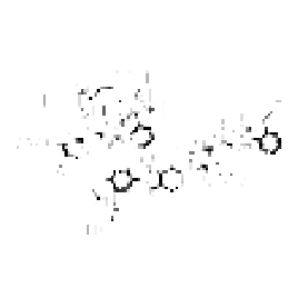 C#CCN1C(=O)COc2cc(F)c(N3C(=O)C4=C(CCCC4)C3=O)cc21.COc1cc(OC)nc(NC(=O)NS(=O)(=O)c2ncccc2C(=O)N(C)C)n1.COc1nc(C)nc(NC(=O)NS(=O)(=O)c2ccccc2CCC(F)(F)F)n1.CP(=O)(O)CCC(N)C(=O)O